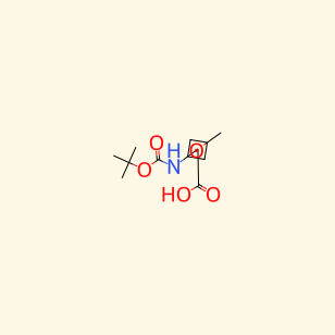 CC(C)(C)OC(=O)NC12CC(C)(C1)OC2C(=O)O